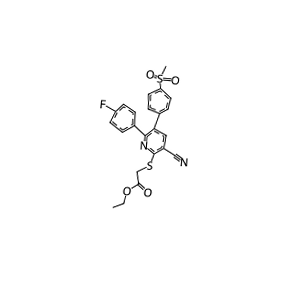 CCOC(=O)CSc1nc(-c2ccc(F)cc2)c(-c2ccc(S(C)(=O)=O)cc2)cc1C#N